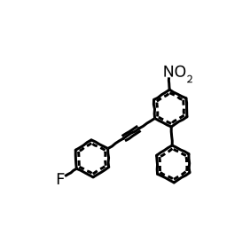 O=[N+]([O-])c1ccc(-c2ccccc2)c(C#Cc2ccc(F)cc2)c1